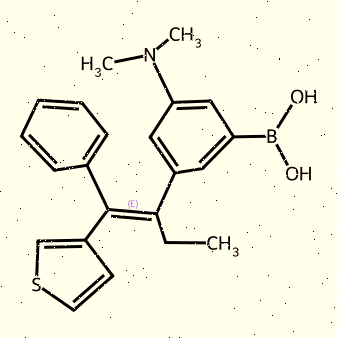 CC/C(=C(/c1ccccc1)c1ccsc1)c1cc(B(O)O)cc(N(C)C)c1